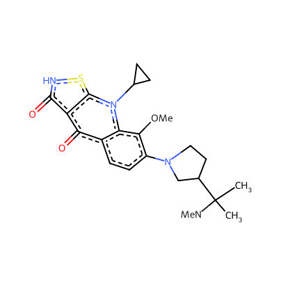 CNC(C)(C)C1CCN(c2ccc3c(=O)c4c(=O)[nH]sc4n(C4CC4)c3c2OC)C1